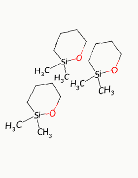 C[Si]1(C)CCCCO1.C[Si]1(C)CCCCO1.C[Si]1(C)CCCCO1